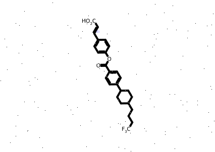 O=C(O)/C=C/c1ccc(OC(=O)c2ccc(C3CCC(CCCC(F)(F)F)CC3)cc2)cc1